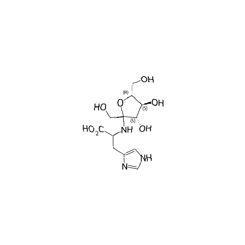 O=C(O)C(Cc1c[nH]cn1)NC1(CO)O[C@H](CO)[C@@H](O)[C@@H]1O